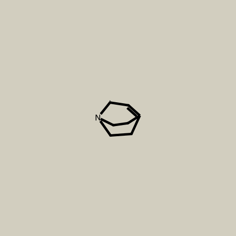 [CH]1C=C2CCN1CC2